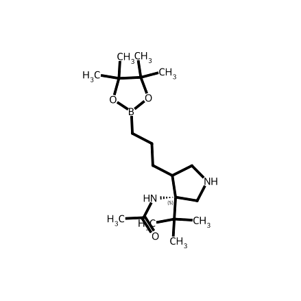 CC(=O)N[C@@]1(C(C)(C)C)CNCC1CCCB1OC(C)(C)C(C)(C)O1